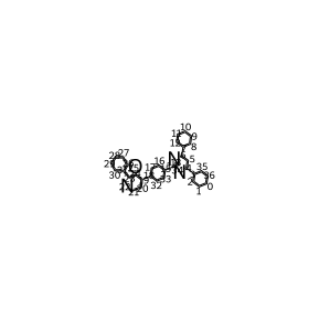 c1ccc(-c2cc(-c3ccccc3)nc(-c3ccc(-c4ccnc5c4oc4ccccc45)cc3)n2)cc1